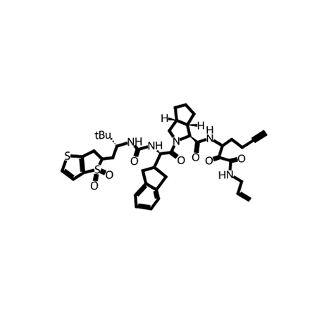 C#CCCC(NC(=O)[C@@H]1[C@H]2CCC[C@H]2CN1C(=O)[C@@H](NC(=O)N[C@H](CC1Cc2sccc2S1(=O)=O)C(C)(C)C)C1Cc2ccccc2C1)C(=O)C(=O)NCC=C